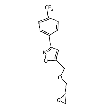 FC(F)(F)c1ccc(-c2cc(COCC3CO3)on2)cc1